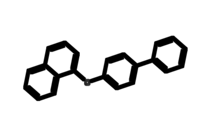 c1ccc(-c2ccc(Oc3cccc4ccccc34)cc2)cc1